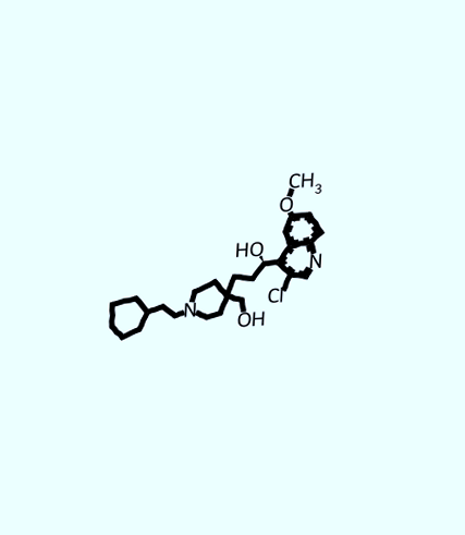 COc1ccc2ncc(Cl)c([C@@H](O)CCC3(CO)CCN(CCC4CCCCC4)CC3)c2c1